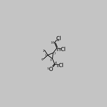 CC1(C)C(C(=O)Cl)C1/C(Cl)=C/Cl